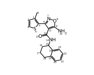 Cc1ccsc1-c1noc(N)c1C(=O)NC1CCCc2ccccc21